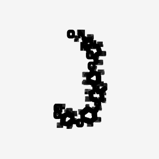 CC1CN(Cc2ccc(Oc3ccc(OC(F)(F)F)cc3)cc2)CCN1c1ccc(OCC2CCn3cc([N+](=O)[O-])nc3O2)cc1